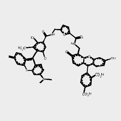 C=c1ccc2c(c1)Oc1cc(N(C)C)ccc1C=2c1c(Cl)cc(C(=O)NCc2ccc(C(=O)NCc3c4oc5cc(O)ccc5c(-c5ccc(C(=O)O)cc5C(=O)O)c-4ccc3=O)o2)c(Cl)c1C(=O)O